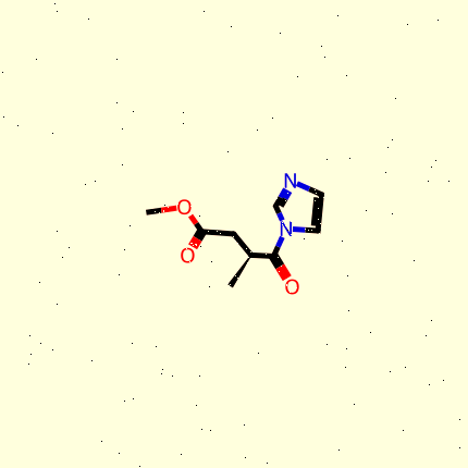 COC(=O)C[C@H](C)C(=O)n1ccnc1